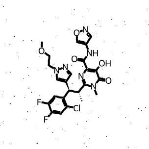 COCCn1cc([C@H](c2cc(F)c(F)cc2Cl)[C@@H](C)c2nc(C(=O)Nc3cnoc3)c(O)c(=O)n2C)cn1